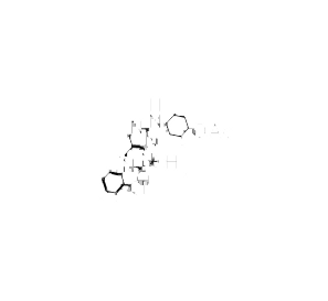 CC(=O)O[C@H]1CC[C@H](Nc2ncc3c(n2)N(C)C(=O)N(c2ccccc2Cl)C3)CC1